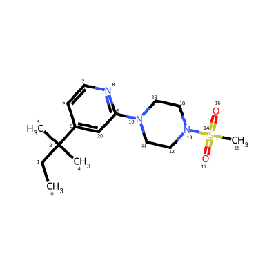 CCC(C)(C)c1ccnc(N2CCN(S(C)(=O)=O)CC2)c1